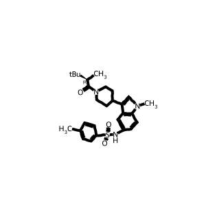 Cc1ccc(S(=O)(=O)Nc2ccc3c(c2)c(C2CCN(C(=O)[C@H](C)C(C)(C)C)CC2)cn3C)cc1